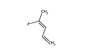 C=CC=C(C)F